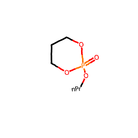 [CH2]CCOP1(=O)OCCCO1